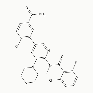 CN(C(=O)c1c(F)cccc1Cl)c1ncc(-c2cc(C(N)=O)ccc2Cl)cc1N1CCSCC1